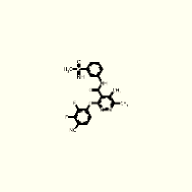 Cc1c(C(F)(F)F)nnc(Oc2ccc(C#N)c(F)c2F)c1C(=O)Nc1cccc(S(C)(=N)=O)c1